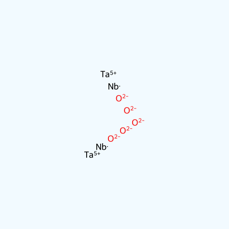 [Nb].[Nb].[O-2].[O-2].[O-2].[O-2].[O-2].[Ta+5].[Ta+5]